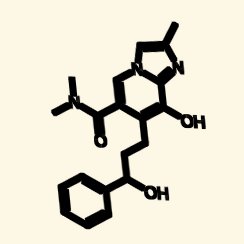 Cc1cn2cc(C(=O)N(C)C)c(CCC(O)c3ccccc3)c(O)c2n1